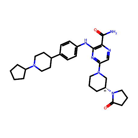 NC(=O)c1ncc(N2CCC[C@@H](N3CCCC3=O)C2)nc1Nc1ccc(C2CCN(C3CCCC3)CC2)cc1